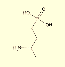 CC(N)CCP(=O)(O)O